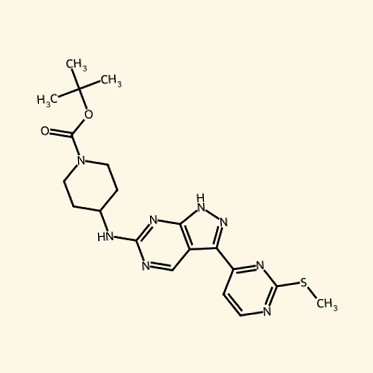 CSc1nccc(-c2n[nH]c3nc(NC4CCN(C(=O)OC(C)(C)C)CC4)ncc23)n1